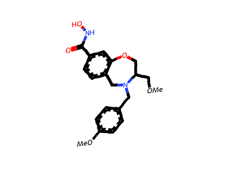 COCC1COc2cc(C(=O)NO)ccc2CN1Cc1ccc(OC)cc1